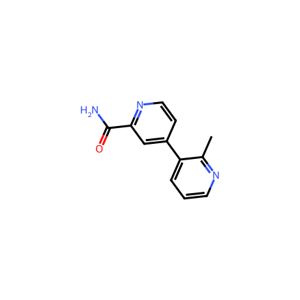 Cc1ncccc1-c1ccnc(C(N)=O)c1